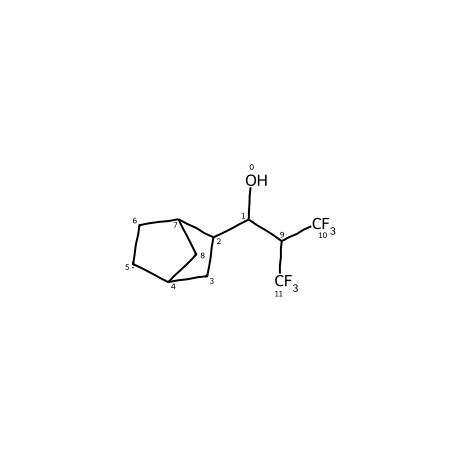 OC(C1CC2[CH]CC1C2)C(C(F)(F)F)C(F)(F)F